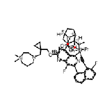 CC(C)[Si](C#Cc1c(F)ccc2cccc(-c3nc4c5c(nc(OCC6(CN7CCC[Si](C)(C)CC7)CC6)nc5c3F)N3C[C@H]5CC[C@@H]([C@@H]3[C@@H](C)C4)N5C(=O)OC(C)(C)C)c12)(C(C)C)C(C)C